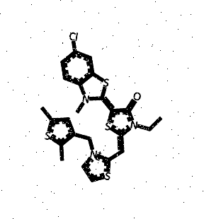 CCn1c(=O)/c(=C2\Sc3cc(Cl)ccc3N2C)s/c1=C\c1scc[n+]1Cc1cc(C)sc1C